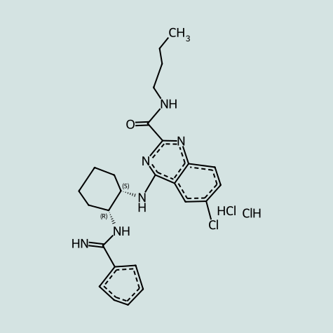 CCCCNC(=O)c1nc(N[C@H]2CCCC[C@H]2NC(=N)c2ccccc2)c2cc(Cl)ccc2n1.Cl.Cl